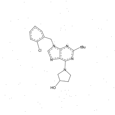 CC(C)(C)c1nc(N2CCC(O)C2)c2ncn(Cc3ccccc3Cl)c2n1